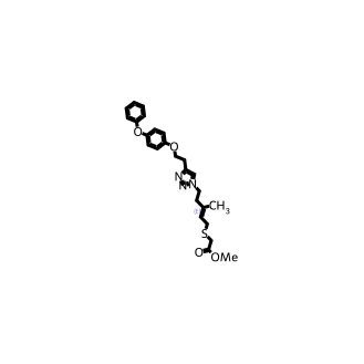 COC(=O)CSC/C=C(\C)CCn1cc(CCOc2ccc(Oc3ccccc3)cc2)nn1